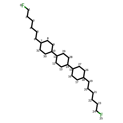 FCCCCCCC1CCC(C2CCC(C3CCC(CCCCCCF)CC3)CC2)CC1